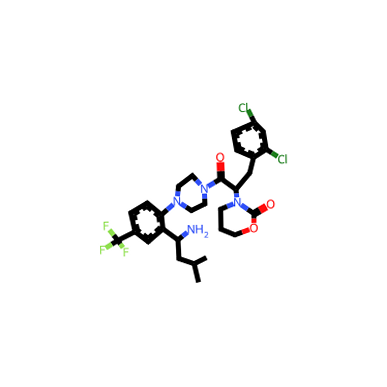 CC(C)CC(N)c1cc(C(F)(F)F)ccc1N1CCN(C(=O)C(Cc2ccc(Cl)cc2Cl)N2CCCOC2=O)CC1